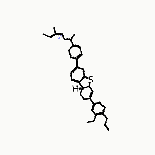 CCCC1=C(CC)C=C(C2=CC3SC4CC(C5=CC=C(C(C)C/C=C(/C)CC)CC5)=CC=C4[C@H]3CC2)CC1